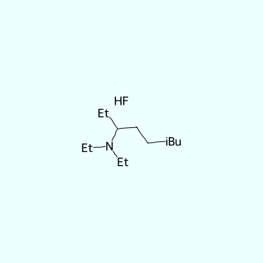 C[CH]C(C)CCC(CC)N(CC)CC.F